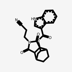 N#CCCN1C(=O)C2C3CCC(C(OC(=O)c4c[nH]c5ccccc45)C3)C2C1=O